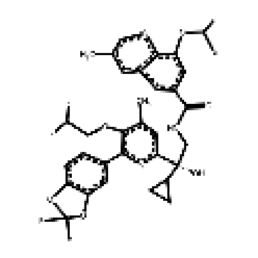 Cc1cnc2c(OC(F)F)cc(C(=O)NC[C@](O)(c3cc(C)c(OCC(F)F)c(-c4ccc5c(c4)OC(F)(F)O5)n3)C3CC3)cc2c1